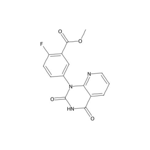 COC(=O)c1cc(-n2c(=O)[nH]c(=O)c3cccnc32)ccc1F